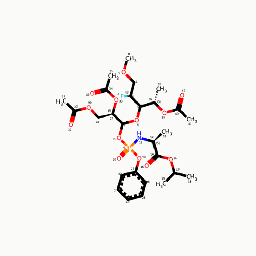 COC[C@H](F)C(OC(OP(=O)(N[C@@H](C)C(=O)OC(C)C)Oc1ccccc1)[C@@H](COC(C)=O)OC(C)=O)[C@H](C)OC(C)=O